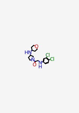 O=C(CNc1ccc(Cl)c(Cl)c1)N1CCC(NC2CCOCC2)C1